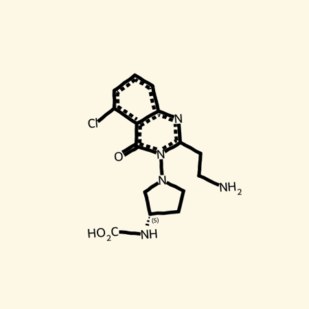 NCCc1nc2cccc(Cl)c2c(=O)n1N1CC[C@H](NC(=O)O)C1